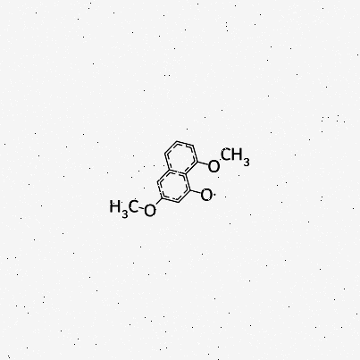 COc1cc([O])c2c(OC)cccc2c1